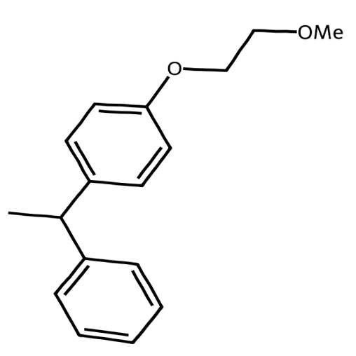 COCCOc1ccc(C(C)c2ccccc2)cc1